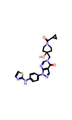 O=C(C1CC1)N1CCC(O)(Cn2cnc3c(cnn3-c3ccc(Nc4nccs4)cc3)c2=O)CC1